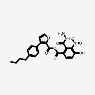 CCCCc1ccc(-c2ccoc2C(=O)OC(=O)c2ccc(O)c([N+](=O)[O-])c2C(=O)NN)cc1